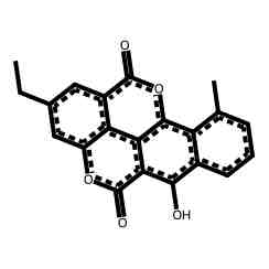 CCc1cc2oc(=O)c3c(O)c4cccc(C)c4c4oc(=O)c(c1)c2c34